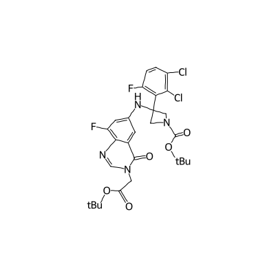 CC(C)(C)OC(=O)Cn1cnc2c(F)cc(NC3(c4c(F)ccc(Cl)c4Cl)CN(C(=O)OC(C)(C)C)C3)cc2c1=O